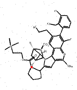 CSc1nc2c(F)c(-c3cccc(Cl)c3Cl)c(CCC#N)cc2c2c1cc(C1CCCN1C(=O)OCC[Si](C)(C)C)n2[C@H]1[C@@H]2C[C@H]1N(C(=O)O)C2